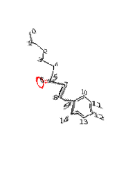 CCCCCC(=O)C=Cc1ccccc1